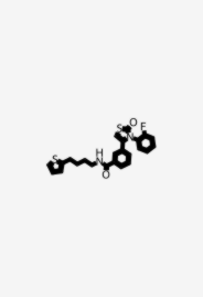 O=C(NCCCCc1cccs1)c1cccc(-c2csc(=O)n2-c2ccccc2F)c1